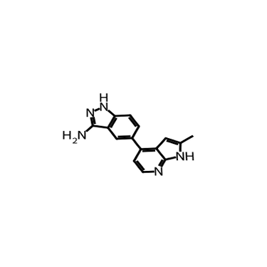 Cc1cc2c(-c3ccc4[nH]nc(N)c4c3)ccnc2[nH]1